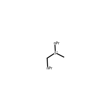 CCCC[S+](C)CCC